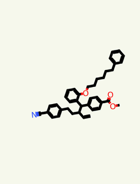 C=CC(CCc1ccc(C#N)cc1)C(c1ccc(C(=O)OC)cc1)c1ccccc1OCCCCCCc1ccccc1